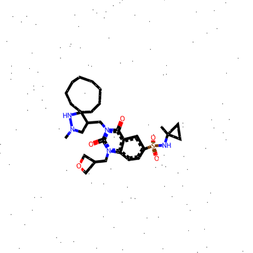 CN1CC(Cn2c(=O)c3cc(S(=O)(=O)NC4(C)CC4)ccc3n(CC3COC3)c2=O)C2(CCCCCCCC2)N1